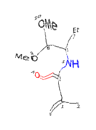 C=C(C)C(=O)NC(CC)C(OC)OC